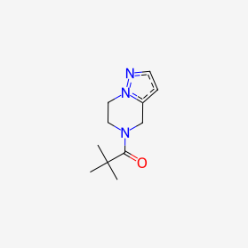 CC(C)(C)C(=O)N1CCn2nccc2C1